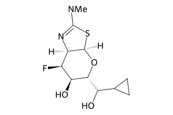 CNC1=N[C@@H]2[C@H](F)[C@H](O)[C@@H](C(O)C3CC3)O[C@@H]2S1